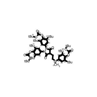 CN(CCC1C(=O)N(c2cc(C(C)(C)C)c(OC(=O)OC(C)(C)C)c(C(C)(C)C)c2)N(c2cc(C(C)(C)C)c(OC(=O)OC(C)(C)C)c(C(C)(C)C)c2)C1=O)c1cc(C(C)(C)C)c(OC(=O)OC(C)(C)C)c(C(C)(C)C)c1